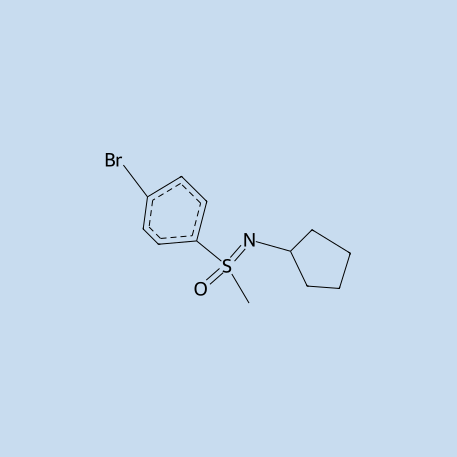 CS(=O)(=NC1CCCC1)c1ccc(Br)cc1